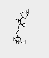 CN1CCC(N(C)C(=O)CCCc2c[nH]nn2)CC1